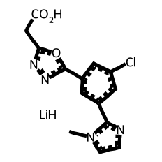 Cn1ccnc1-c1cc(Cl)cc(-c2nnc(CC(=O)O)o2)c1.[LiH]